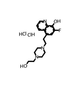 Cl.Cl.OCCN1CCN(CCc2cc(F)c(O)c3ncccc23)CC1